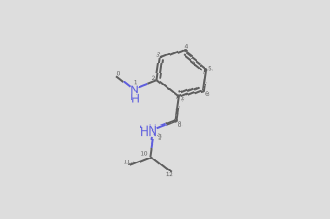 CNc1ccccc1CNC(C)C